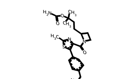 CCc1ccc(-c2sc(C)nc2C(=O)N2CCC2CCC(C)(C)OC(N)=O)cc1